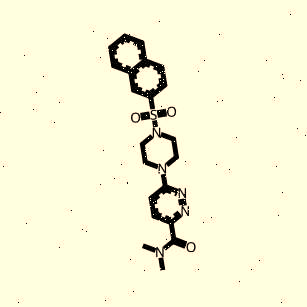 CN(C)C(=O)c1ccc(N2CCN(S(=O)(=O)c3ccc4ccccc4c3)CC2)nn1